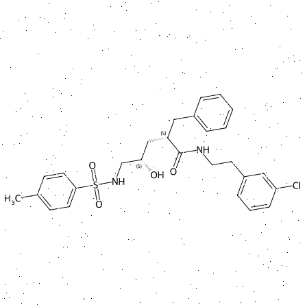 Cc1ccc(S(=O)(=O)NC[C@@H](O)C[C@H](Cc2ccccc2)C(=O)NCCc2cccc(Cl)c2)cc1